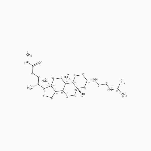 COC(=O)CC[C@@H](C)[C@H]1CCC2C3CC[C@@]4(O)C[C@@H](NCCNC(C)C)CC[C@]4(C)C3CC[C@@]21C